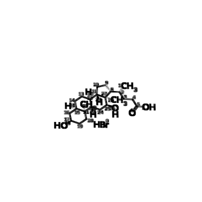 Br.C[C@H](CCC(=O)O)[C@H]1CC[C@H]2[C@@H]3CC[C@@H]4C[C@H](O)CC[C@]4(C)[C@H]3C[C@H](O)[C@]12C